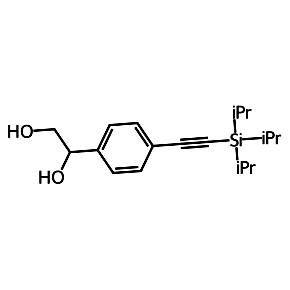 CC(C)[Si](C#Cc1ccc(C(O)CO)cc1)(C(C)C)C(C)C